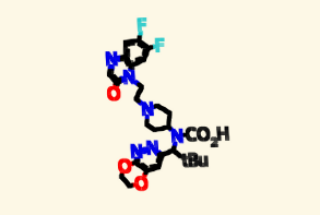 CC(C)(C)C(c1cc2c(nn1)OCCO2)N(C(=O)O)C1CCN(CCn2c(=O)cnc3cc(F)c(F)cc32)CC1